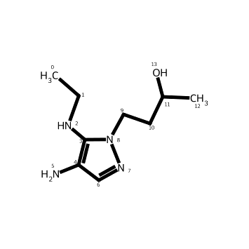 CCNc1c(N)cnn1CCC(C)O